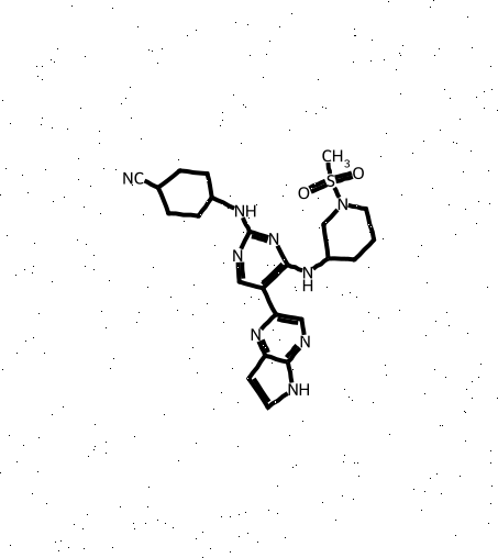 CS(=O)(=O)N1CCCC(Nc2nc(NC3CCC(C#N)CC3)ncc2-c2cnc3[nH]ccc3n2)C1